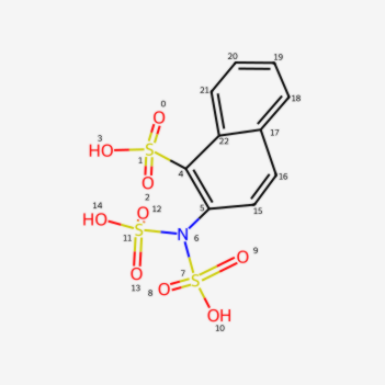 O=S(=O)(O)c1c(N(S(=O)(=O)O)S(=O)(=O)O)ccc2ccccc12